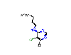 CCCCCCCCCCNc1ncnc(CC)c1Cl